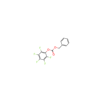 O=C(OCc1ccccc1)Oc1c(F)c(F)c(F)c(F)c1F